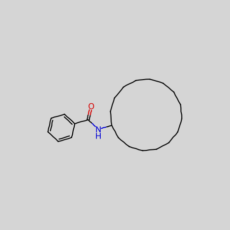 O=C(NC1CCCCCCCCCCCCCCC1)c1ccccc1